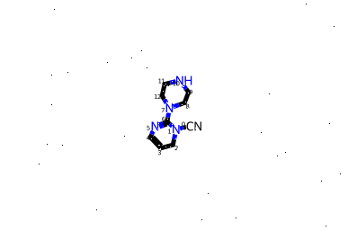 N#CN1CC=CN=C1N1CCNCC1